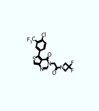 O=C(Cn1cnc2csc(-c3ccc(Cl)c(C(F)(F)F)c3)c2c1=O)N1CC(F)(F)C1